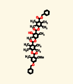 COc1cc(OCc2ccccc2)cc(C)c1C(=O)Oc1c(C)c(C)c(C(=O)Oc2cc(C)c(C(=O)Oc3c(C)c(C)c(C(=O)OCc4ccccc4)c(C)c3C)c(O)c2C)c(C)c1C